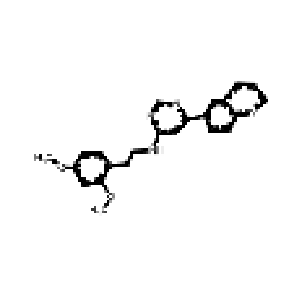 COc1ccc(CCNc2cc(-c3ccc4ncccc4c3)ncn2)c(OC)c1